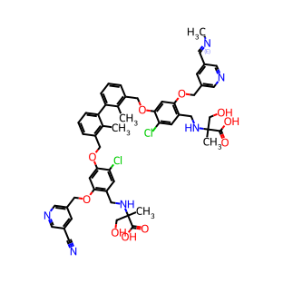 C/N=C/c1cncc(COc2cc(OCc3cccc(-c4cccc(COc5cc(OCc6cncc(C#N)c6)c(CNC(C)(CO)C(=O)O)cc5Cl)c4C)c3C)c(Cl)cc2CNC(C)(CO)C(=O)O)c1